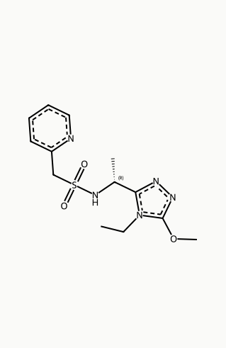 CCn1c(OC)nnc1[C@@H](C)NS(=O)(=O)Cc1ccccn1